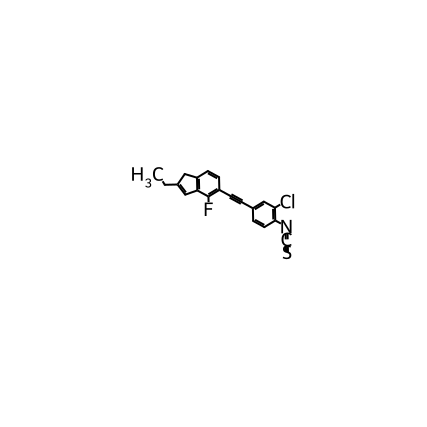 CCC1=Cc2c(ccc(C#Cc3ccc(N=C=S)c(Cl)c3)c2F)C1